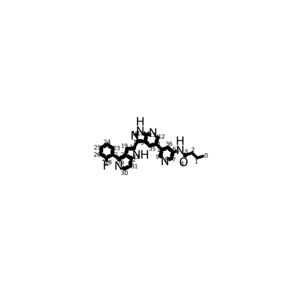 CCCC(=O)Nc1cncc(-c2cnc3[nH]nc(-c4cc5c(-c6ccccc6F)nccc5[nH]4)c3c2)c1